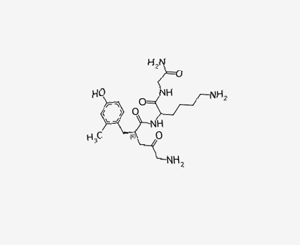 Cc1cc(O)ccc1C[C@H](CC(=O)CN)C(=O)NC(CCCCN)C(=O)NCC(N)=O